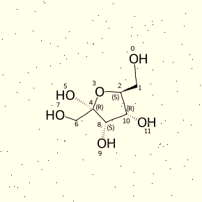 OC[C@@H]1O[C@](O)(CO)[C@@H](O)[C@H]1O